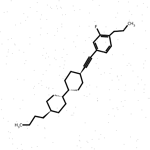 CCCC[C@H]1CC[C@H]([C@H]2CC[C@H](C#Cc3ccc(CCC)c(F)c3)CC2)CC1